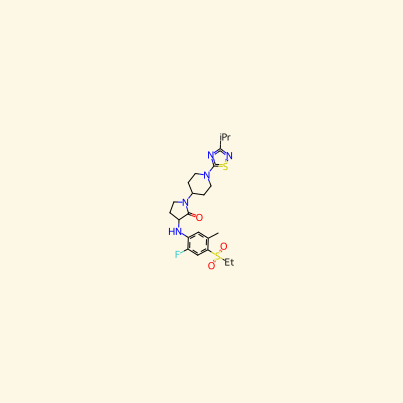 CCS(=O)(=O)c1cc(F)c(NC2CCN(C3CCN(c4nc(C(C)C)ns4)CC3)C2=O)cc1C